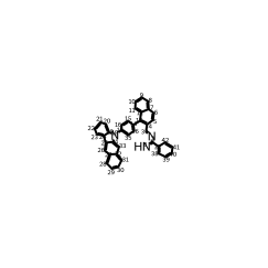 N=C(/N=C/c1ccc2ccccc2c1-c1ccc(-n2c3ccccc3c3cc4ccccc4cc32)cc1)c1ccccc1